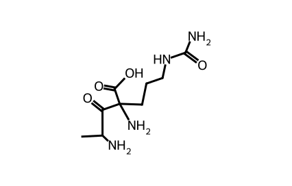 CC(N)C(=O)C(N)(CCCNC(N)=O)C(=O)O